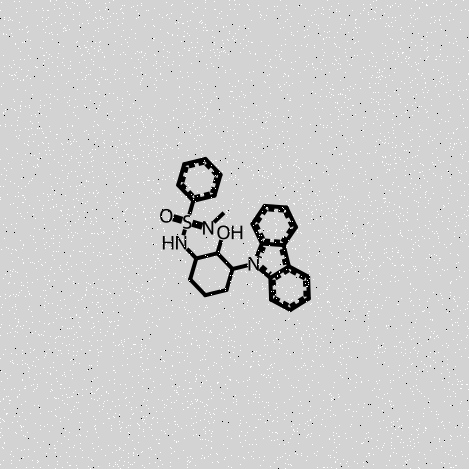 CN=S(=O)(NC1CCCC(n2c3ccccc3c3ccccc32)C1O)c1ccccc1